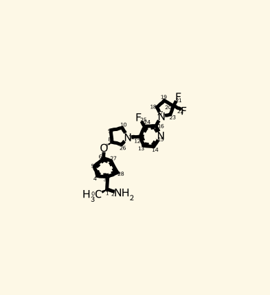 C[C@H](N)c1ccc(O[C@@H]2CCN(c3ccnc(N4CCC(F)(F)C4)c3F)C2)cc1